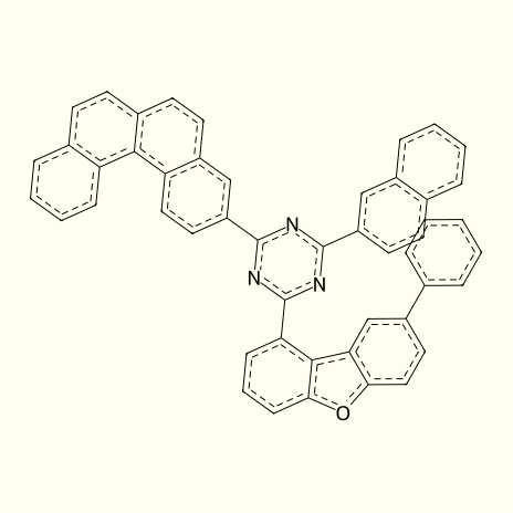 c1ccc(-c2ccc3oc4cccc(-c5nc(-c6ccc7ccccc7c6)nc(-c6ccc7c(ccc8ccc9ccccc9c87)c6)n5)c4c3c2)cc1